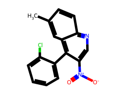 Cc1ccc2ncc([N+](=O)[O-])c(-c3ccccc3Cl)c2c1